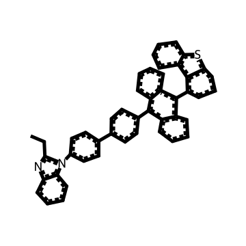 CCc1nc2ccccc2n1-c1ccc(-c2ccc(-c3c4ccccc4c(-c4cccc5sc6ccccc6c45)c4ccccc34)cc2)cc1